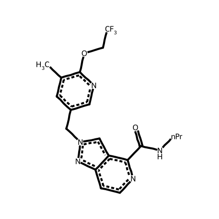 CCCNC(=O)c1nccc2nn(Cc3cnc(OCC(F)(F)F)c(C)c3)cc12